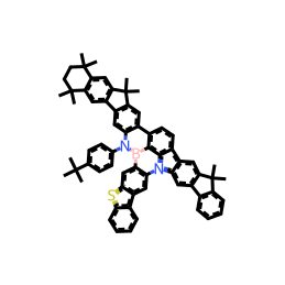 CC(C)(C)c1ccc(N2B3c4cc5sc6ccccc6c5cc4-n4c5cc6c(cc5c5ccc(c3c54)-c3cc4c(cc32)-c2cc3c(cc2C4(C)C)C(C)(C)CCC3(C)C)C(C)(C)c2ccccc2-6)cc1